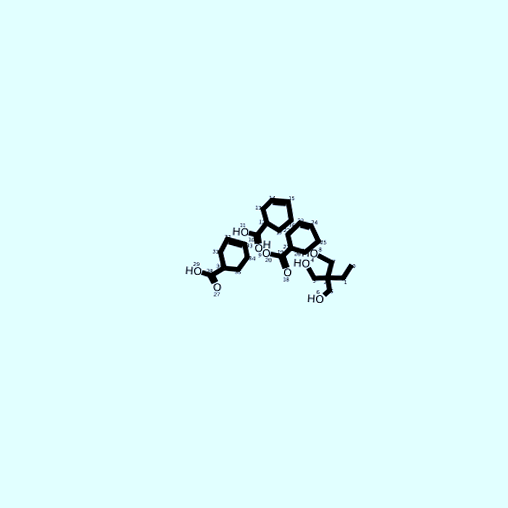 CCC(CO)(CO)CO.O=C(O)C1CC=CCC1.O=C(O)C1CC=CCC1.O=C(O)C1CC=CCC1